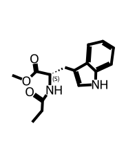 CCC(=O)N[C@@H](Cc1c[nH]c2ccccc12)C(=O)OC